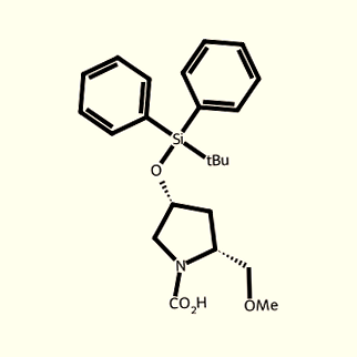 COC[C@H]1C[C@@H](O[Si](c2ccccc2)(c2ccccc2)C(C)(C)C)CN1C(=O)O